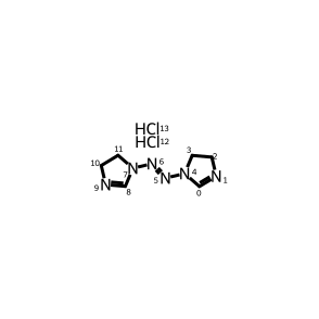 C1=NCCN1N=NN1C=NCC1.Cl.Cl